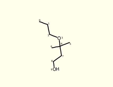 CCCOC(C)(C)CCO